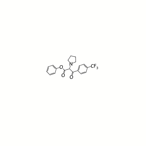 O=C(Oc1ccccc1)C(C(=O)c1ccc(C(F)(F)F)cc1)N1CCCC1